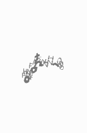 CC(C)(C)c1nc(-c2cccc(NS(=O)(=O)c3c(F)cccc3F)c2F)c(-c2ccnc(NCCCS(C)(=O)=O)n2)s1